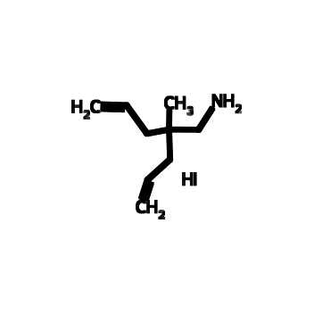 C=CCC(C)(CN)CC=C.I